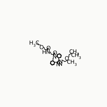 CCCOCCC(=O)NCCC(=O)N1Cc2ccccc2-c2nnn(CCC(C)OCCC(C)C)c2-c2ccccc21